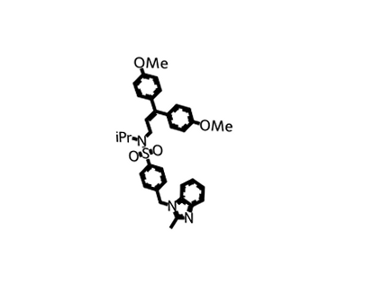 COc1ccc(C(=CCN(C(C)C)S(=O)(=O)c2ccc(Cn3c(C)nc4ccccc43)cc2)c2ccc(OC)cc2)cc1